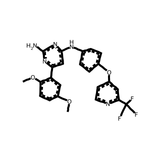 COc1ccc(OC)c(-c2cc(Nc3ccc(Oc4ccnc(C(F)(F)F)c4)cc3)nc(N)n2)c1